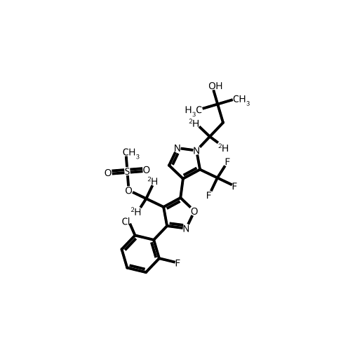 [2H]C([2H])(OS(C)(=O)=O)c1c(-c2c(F)cccc2Cl)noc1-c1cnn(C([2H])([2H])CC(C)(C)O)c1C(F)(F)F